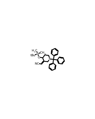 CC(C)(C)[Si](C)(C)OC1CCN(C(c2ccccc2)(c2ccccc2)c2ccccc2)C/C1=C/C#N